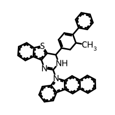 CC1CC(C2NC(n3c4ccccc4c4cc5ccccc5cc43)=Nc3c2sc2ccccc32)=CC=C1c1ccccc1